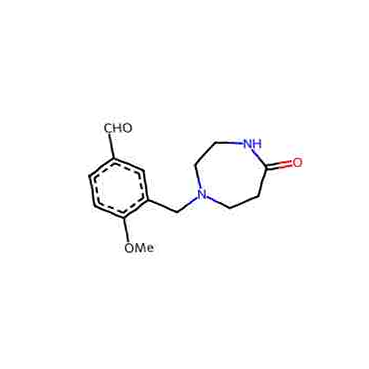 COc1ccc(C=O)cc1CN1CCNC(=O)CC1